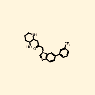 O=C(CC1NCCCC1O)Cn1cnc2ccc(-c3cccc(C(F)(F)F)c3)cc21